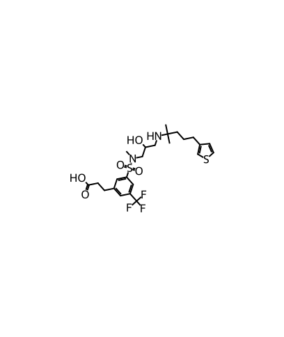 CN(CC(O)CNC(C)(C)CCCc1ccsc1)S(=O)(=O)c1cc(CCC(=O)O)cc(C(F)(F)F)c1